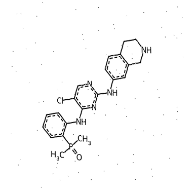 CP(C)(=O)c1ccccc1Nc1nc(Nc2ccc3c(c2)CNCC3)ncc1Cl